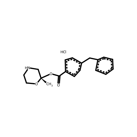 C[C@]1(OC(=O)c2ccc(Cc3ccccc3)cc2)CNCCO1.Cl